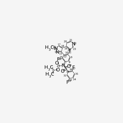 CC(C)OC(=O)N(c1ccc(F)c(-c2nn(C)cc2-c2ccncc2)c1F)S(=O)(=O)c1cc(F)ccc1F